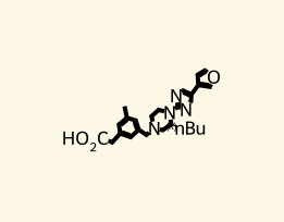 CCCC[C@@H]1CN(Cc2cc(C)cc(CC(=O)O)c2)CCN1c1ncc(-c2ccoc2)cn1